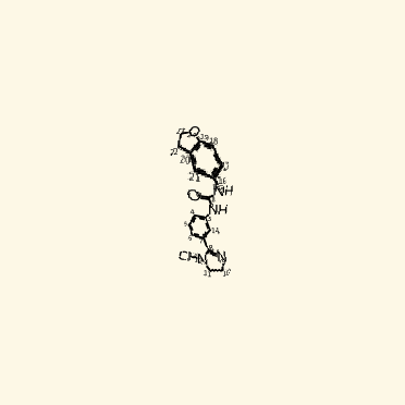 O=C(Nc1cccc(C2=NCCN2Cl)c1)Nc1ccc2c(c1)CCO2